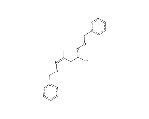 CCC(CC(C)=NOCc1ccccc1)=NOCc1ccccc1